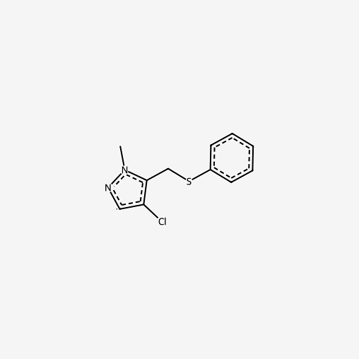 Cn1n[c]c(Cl)c1CSc1ccccc1